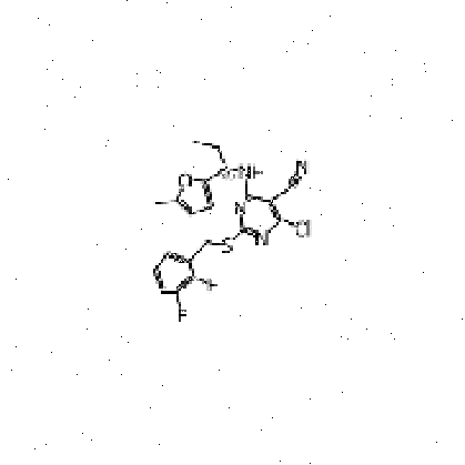 CC[C@@H](Nc1nc(SCc2cccc(F)c2F)nc(Cl)c1C#N)c1ccc(C)o1